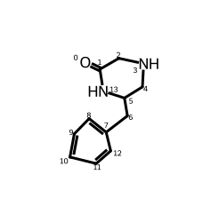 O=C1CNCC(Cc2ccccc2)N1